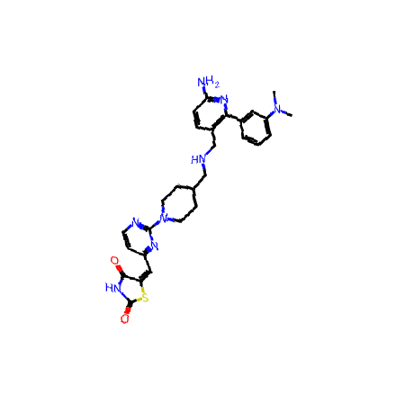 CN(C)c1cccc(-c2nc(N)ccc2CNCC2CCN(c3nccc(C=C4SC(=O)NC4=O)n3)CC2)c1